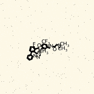 CN(C)CC(=O)NCc1cc(C(F)(F)F)c2oc(-c3c(F)ccc(-c4ccccc4)c3-c3nncn3C)nc2c1